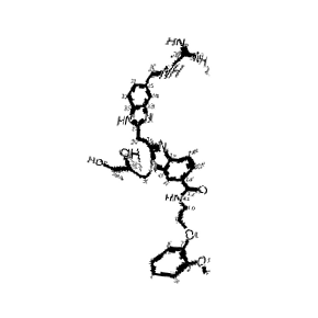 COc1ccccc1OCCNC(=O)c1ccc2nc(Cc3nc4cc(CNC(=N)N)ccc4[nH]3)n(CC(O)CO)c2c1